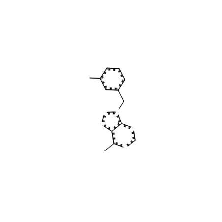 Fc1cccc(Cn2nnc3c(Cl)ncnc32)c1